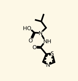 CC(C)CN(NC(=O)c1cncs1)C(=O)O